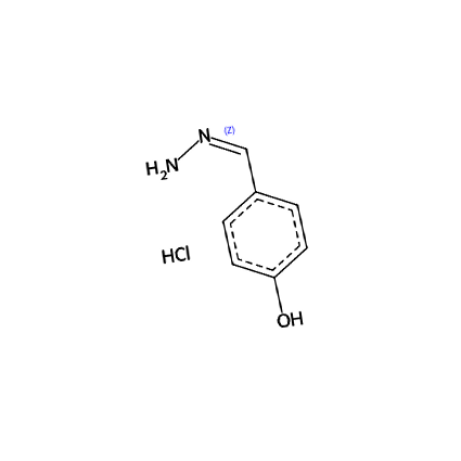 Cl.N/N=C\c1ccc(O)cc1